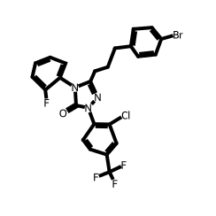 O=c1n(-c2ccc(C(F)(F)F)cc2Cl)nc(CCCc2ccc(Br)cc2)n1-c1ccccc1F